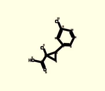 O=C(O)C1(Cl)CC1c1cccc(Cl)c1